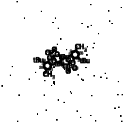 Cc1cc(C(C)(C)C)c(OC2(P(=O)=O)OCC3(CO2)COC(Oc2c(C(C)(C)C)cc(C)cc2C(C)(C)C)(P(=O)=O)OC3)c(C(C)(C)C)c1